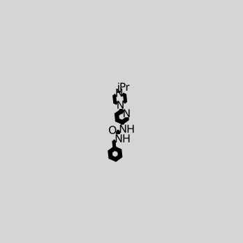 CC(C)N1CCN(c2ccc(NC(=O)NCc3ccccc3)cn2)CC1